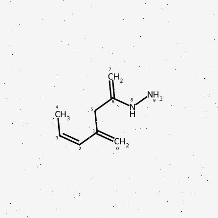 C=C(/C=C\C)CC(=C)NN